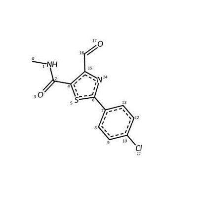 CNC(=O)c1sc(-c2ccc(Cl)cc2)nc1C=O